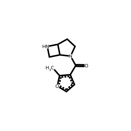 Cc1occc1C(=O)N1CCC2NCC21